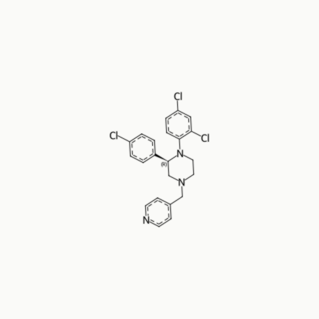 Clc1ccc([C@@H]2CN(Cc3ccncc3)CCN2c2ccc(Cl)cc2Cl)cc1